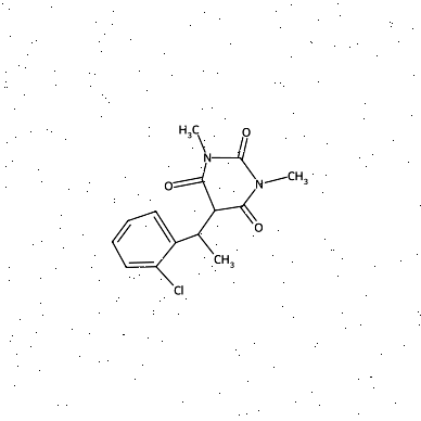 CC(c1ccccc1Cl)C1C(=O)N(C)C(=O)N(C)C1=O